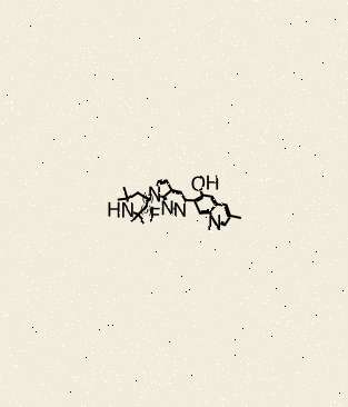 Cc1cnc2cc(-c3cc4ccn([C@H]5CC(C)(C)NC(C)(C)[C@H]5F)c4nn3)c(O)cc2c1